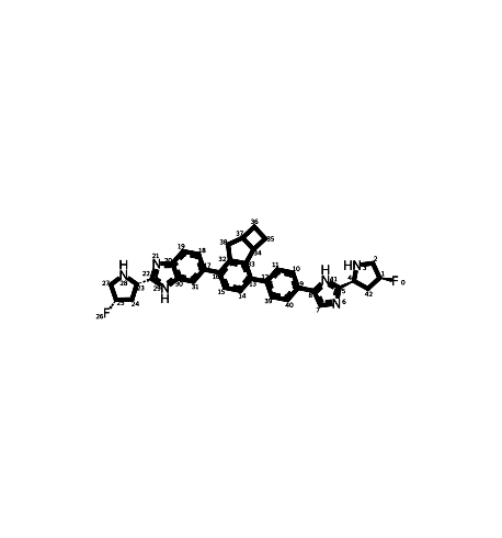 F[C@@H]1CN[C@H](c2ncc(-c3ccc(-c4ccc(-c5ccc6nc([C@@H]7C[C@H](F)CN7)[nH]c6c5)c5c4C4CCC4C5)cc3)[nH]2)C1